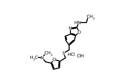 CCNc1nc2ccc(CSCc3ccc(CN(C)C)o3)cc2o1.Cl.Cl